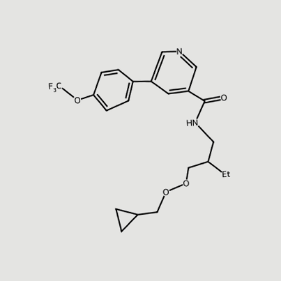 CCC(CNC(=O)c1cncc(-c2ccc(OC(F)(F)F)cc2)c1)COOCC1CC1